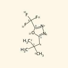 CC(C)(C)Cc1nnc(C(F)(F)F)o1